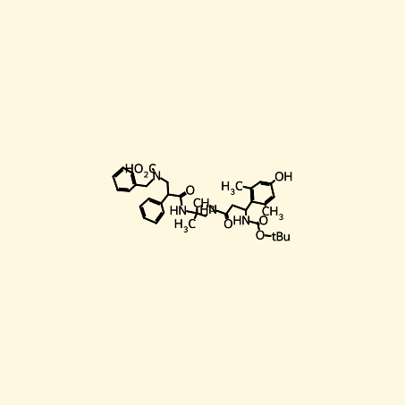 Cc1cc(O)cc(C)c1C(CC(=O)NCC(C)(C)NC(=O)C(CN(Cc1ccccc1)C(=O)O)c1ccccc1)NC(=O)OC(C)(C)C